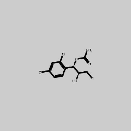 CC[C@@H](O)[C@H](OC(N)=O)c1ccc(Cl)cc1Cl